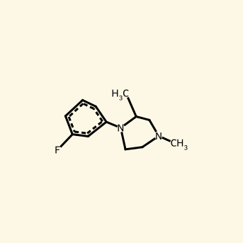 CC1CN(C)CCN1c1cccc(F)c1